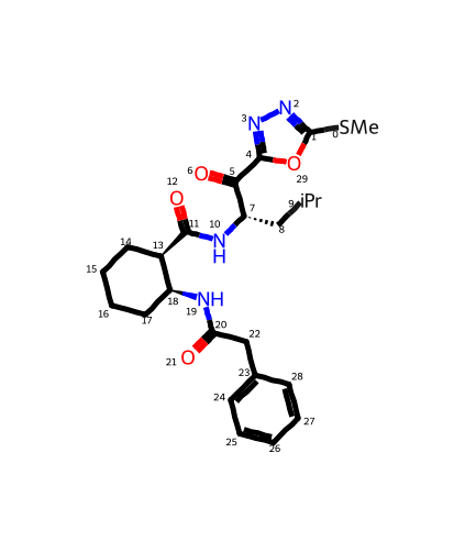 CSc1nnc(C(=O)[C@H](CC(C)C)NC(=O)[C@@H]2CCCC[C@@H]2NC(=O)Cc2ccccc2)o1